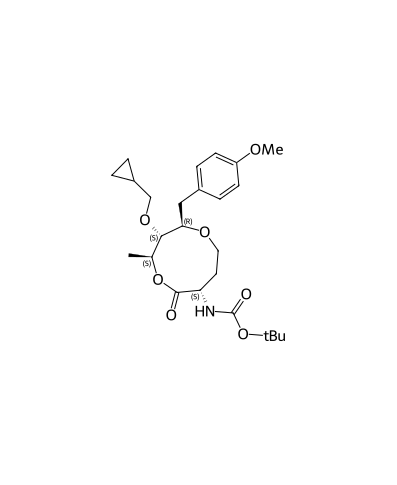 COc1ccc(C[C@H]2OCC[C@H](NC(=O)OC(C)(C)C)C(=O)O[C@@H](C)[C@@H]2OCC2CC2)cc1